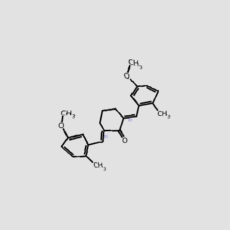 COc1ccc(C)c(/C=C2\CCC/C(=C\c3cc(OC)ccc3C)C2=O)c1